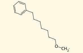 [CH2]OCCCCCCCc1ccccc1